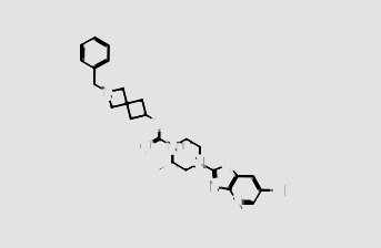 C[C@@H]1CN(c2nc3ncc(C(F)(F)F)cc3s2)C[C@@H](C)N1C(=O)OC1CC2(C1)CN(Cc1ccccc1)C2